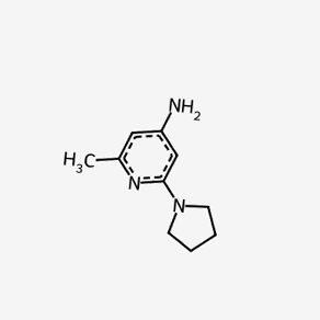 Cc1cc(N)cc(N2CCCC2)n1